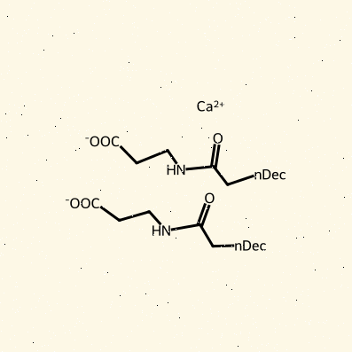 CCCCCCCCCCCC(=O)NCCC(=O)[O-].CCCCCCCCCCCC(=O)NCCC(=O)[O-].[Ca+2]